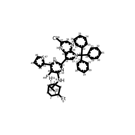 CCC12CCC(CC1)[C@@H](Nc1nc(-c3cn(C(c4ccccc4)(c4ccccc4)c4ccccc4)c4ncc(Cl)nc34)nc(-c3cccs3)c1F)C2